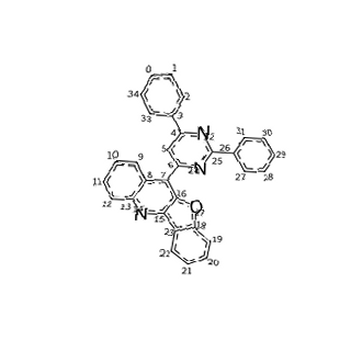 c1ccc(-c2cc(-c3c4ccccc4nc4c3oc3ccccc34)nc(-c3ccccc3)n2)cc1